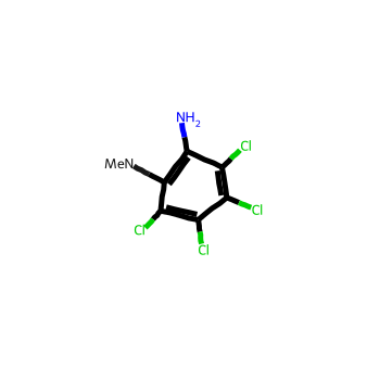 CNc1c(N)c(Cl)c(Cl)c(Cl)c1Cl